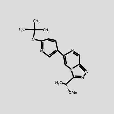 CO[C@H](C)c1nnc2cnc(-c3ccc(OC(C)(C)C(F)(F)F)nc3)cn12